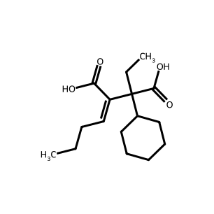 CCCC=C(C(=O)O)C(CC)(C(=O)O)C1CCCCC1